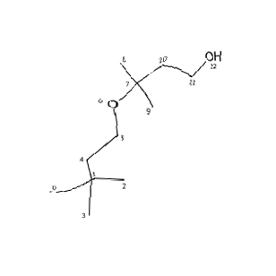 [CH2]C(C)(C)CCOC(C)(C)CCO